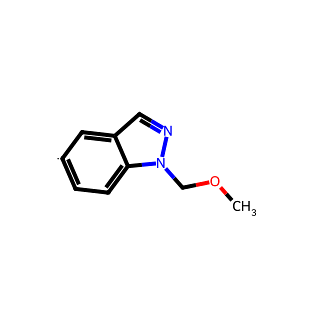 COCn1ncc2c[c]ccc21